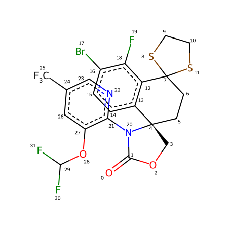 O=C1OC[C@@]2(CCC3(SCCS3)c3c2ccc(Br)c3F)N1c1ncc(C(F)(F)F)cc1OC(F)F